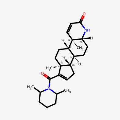 CC1CCCC(C)N1C(=O)C1=CC[C@H]2[C@@H]3CC[C@H]4NC(=O)C=C[C@]4(C)[C@H]3CC[C@]12C